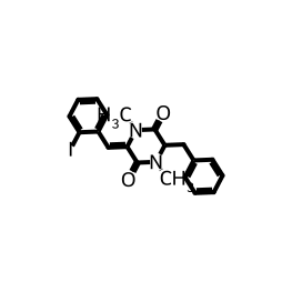 CN1C(=O)C(Cc2ccccc2)N(C)C(=O)C1=Cc1ccccc1I